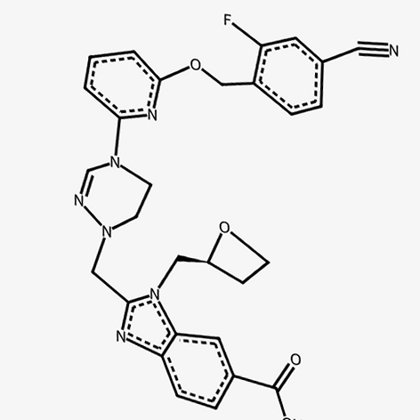 N#Cc1ccc(COc2cccc(N3C=NN(Cc4nc5ccc(C(=O)O)cc5n4C[C@@H]4CCO4)CC3)n2)c(F)c1